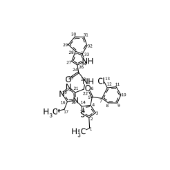 CCc1cc(C(=O)c2ccccc2Cl)c(-n2c(CC)nnc2CNC(=O)c2cc3ccccc3[nH]2)s1